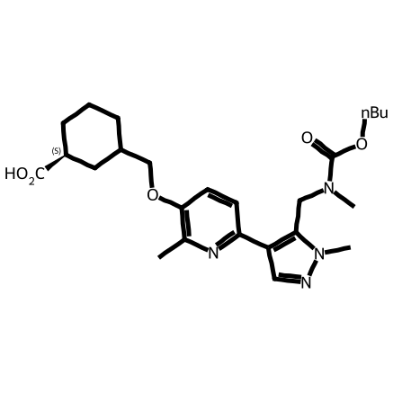 CCCCOC(=O)N(C)Cc1c(-c2ccc(OCC3CCC[C@H](C(=O)O)C3)c(C)n2)cnn1C